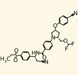 CCS(=O)(=O)c1ccc([C@H](CC#N)NC(=O)c2ccc(N3C[C@@H](Oc4ccc(C#N)cc4)C[C@H]3COC(F)F)cc2)cc1